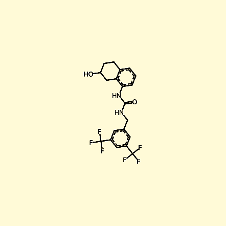 O=C(NCc1cc(C(F)(F)F)cc(C(F)(F)F)c1)Nc1cccc2c1CC(O)CC2